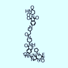 COc1cc(C(=O)NC2CCN(C(=O)CC3CCN(c4ccc5c(c4)C(=O)N(C4CCC(=O)NC4=O)C5=O)C3)CC2)c(F)cc1Nc1ncc2c(n1)N(C1CCCC1)CC(F)(F)C(=O)N2C